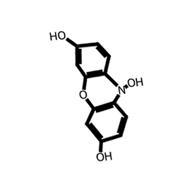 Oc1ccc2c(c1)Oc1cc(O)ccc1N2O